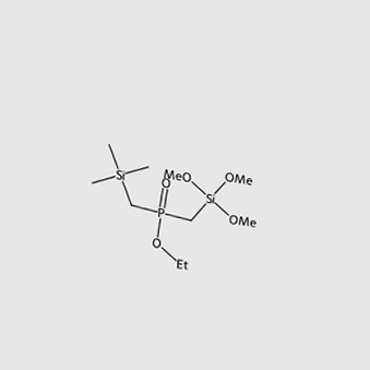 CCOP(=O)(C[Si](C)(C)C)C[Si](OC)(OC)OC